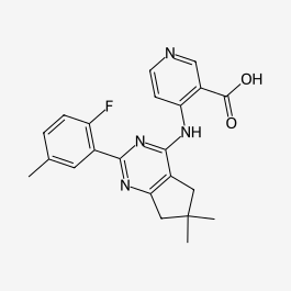 Cc1ccc(F)c(-c2nc3c(c(Nc4ccncc4C(=O)O)n2)CC(C)(C)C3)c1